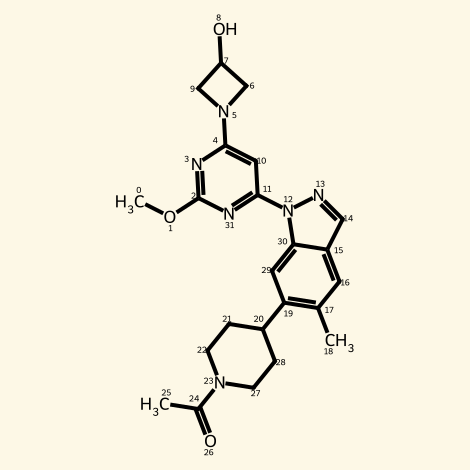 COc1nc(N2CC(O)C2)cc(-n2ncc3cc(C)c(C4CCN(C(C)=O)CC4)cc32)n1